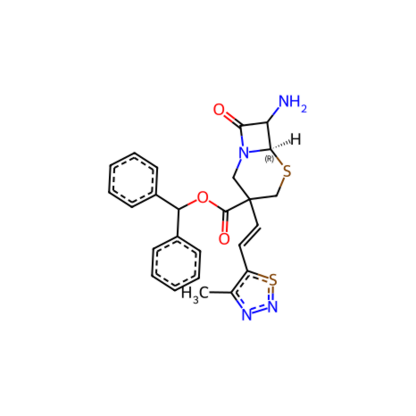 Cc1nnsc1C=CC1(C(=O)OC(c2ccccc2)c2ccccc2)CS[C@@H]2C(N)C(=O)N2C1